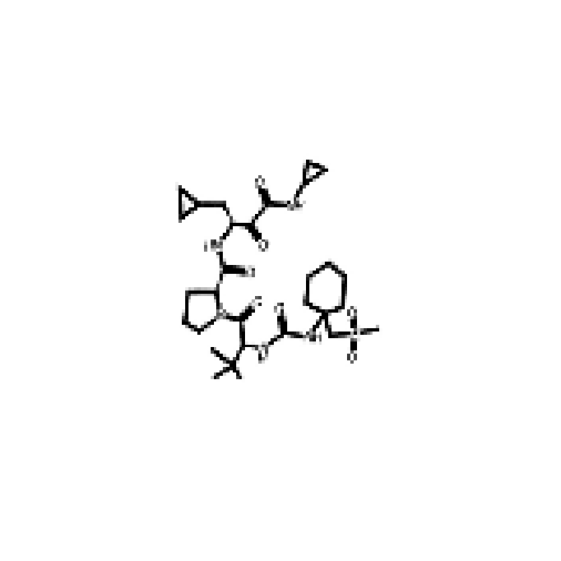 CC(C)(C)[C@H](NC(=O)NC1(CS(C)(=O)=O)CCCCC1)C(=O)N1CCC[C@H]1C(=O)N[C@@H](CC1CC1)C(=O)C(=O)NC1CC1